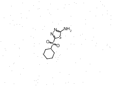 Nc1nnc(S(=O)(=O)C2CCCCC2)s1